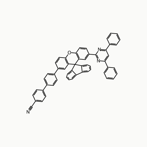 N#Cc1ccc(-c2ccc(-c3ccc4c(c3)C3(c5cc(-c6nc(-c7ccccc7)cc(-c7ccccc7)n6)ccc5O4)c4ccccc4-c4ccccc43)cc2)cc1